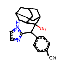 N#Cc1ccc(C(c2ncc[nH]2)C2(O)C3CC4CC(C3)CC2C4)cc1